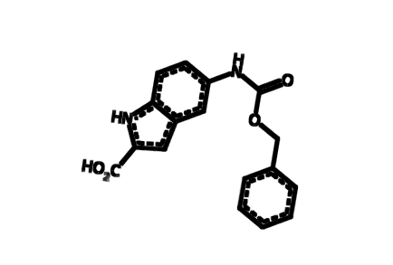 O=C(Nc1ccc2[nH]c(C(=O)O)cc2c1)OCc1ccccc1